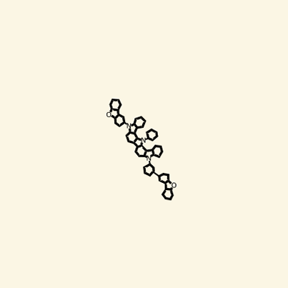 c1ccc(-n2c3c(ccc4c3c3ccccc3n4-c3cccc(-c4ccc5oc6ccccc6c5c4)c3)c3ccc4c(c5ccccc5n4-c4ccc5oc6ccccc6c5c4)c32)cc1